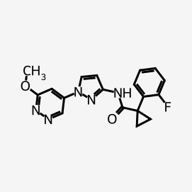 COc1cc(-n2ccc(NC(=O)C3(c4ccccc4F)CC3)n2)cnn1